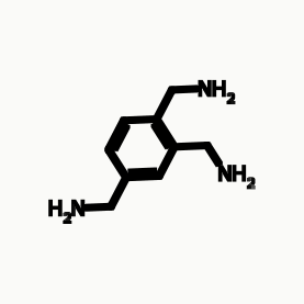 NCc1ccc(CN)c(CN)c1